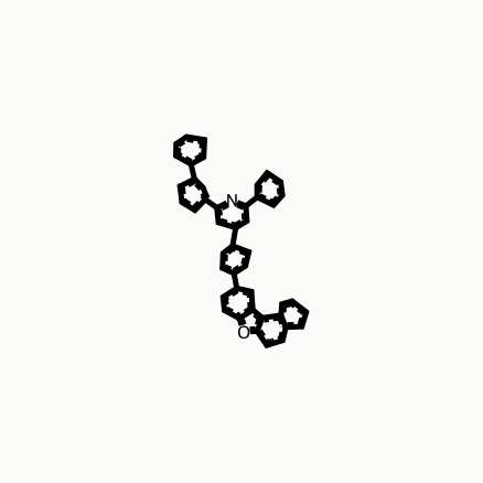 c1ccc(-c2cccc(-c3cc(-c4ccc(-c5ccc6oc7ccc8ccccc8c7c6c5)cc4)cc(-c4ccccc4)n3)c2)cc1